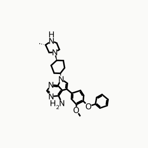 COc1cc(-c2cn([C@H]3CC[C@H](N4CCN[C@@H](C)C4)CC3)c3ncnc(N)c23)ccc1Oc1ccccc1